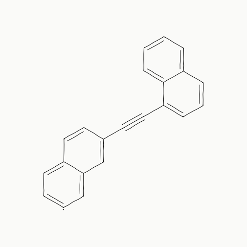 C(#Cc1cccc2ccccc12)c1ccc2cc[c]cc2c1